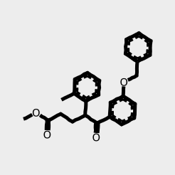 COC(=O)CCC(C(=O)c1cccc(OCc2ccccc2)c1)c1ccccc1C